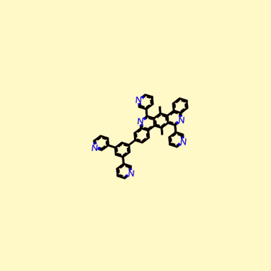 Cc1c2c(-c3cccnc3)nc3cc(-c4cc(-c5cccnc5)cc(-c5cccnc5)c4)ccc3c2c(C)c2c(-c3cccnc3)nc3ccccc3c12